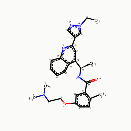 Cc1ccc(OCCN(C)C)cc1C(=O)N[C@H](C)c1cc(-c2cnn(CC(F)(F)F)c2)nc2ccccc12